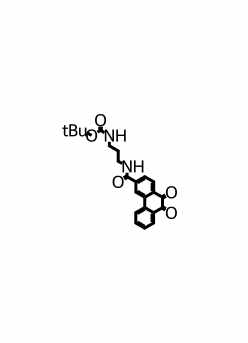 CC(C)(C)OC(=O)NCCCNC(=O)c1ccc2c(c1)-c1ccccc1C(=O)C2=O